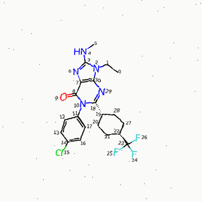 CCn1c(NC)nc2c(=O)n(-c3ccc(Cl)cc3)c([C@H]3CC[C@H](C(F)(F)F)CC3)nc21